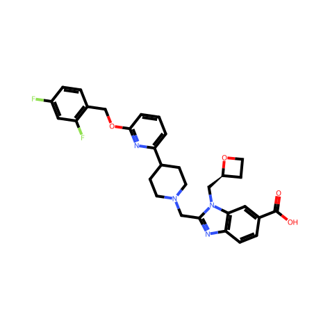 O=C(O)c1ccc2nc(CN3CCC(c4cccc(OCc5ccc(F)cc5F)n4)CC3)n(C[C@@H]3CCO3)c2c1